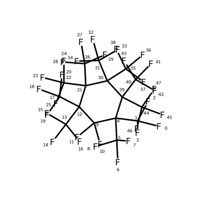 FC(F)(F)C1(C(F)(F)F)C(F)(F)C(C(F)(F)F)(C(F)(F)F)C(C(F)(F)F)(C(F)(F)F)C(C(F)(F)F)(C(F)(F)F)C1(C(F)(F)F)C(F)(F)F